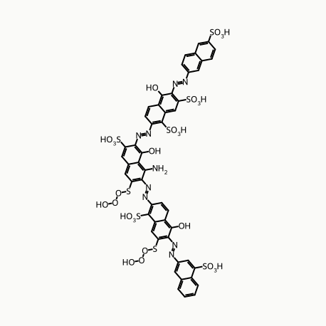 Nc1c(N=Nc2ccc3c(O)c(N=Nc4cc(S(=O)(=O)O)c5ccccc5c4)c(SOOO)cc3c2S(=O)(=O)O)c(SOOO)cc2cc(S(=O)(=O)O)c(N=Nc3ccc4c(O)c(N=Nc5ccc6cc(S(=O)(=O)O)ccc6c5)c(S(=O)(=O)O)cc4c3S(=O)(=O)O)c(O)c12